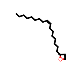 CCCCCCCC/C=C\CCCCCCC[C]1CCO1